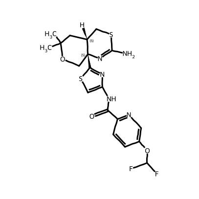 CC1(C)C[C@@H]2CSC(N)=N[C@]2(c2nc(NC(=O)c3ccc(OC(F)F)cn3)cs2)CO1